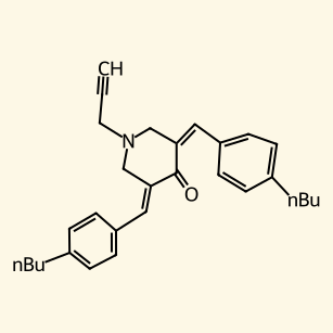 C#CCN1CC(=Cc2ccc(CCCC)cc2)C(=O)C(=Cc2ccc(CCCC)cc2)C1